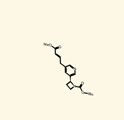 COC(=O)C=CCc1cncc([C@@H]2CCN2C(=O)OC(C)(C)C)c1